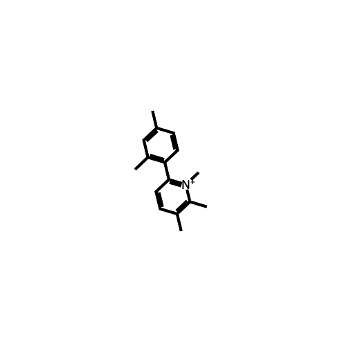 Cc1ccc(-c2ccc(C)c(C)[n+]2C)c(C)c1